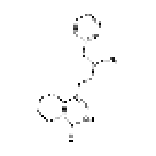 CN(CCc1n[nH]c(=O)c2c1CCCC2)Cc1ccccc1